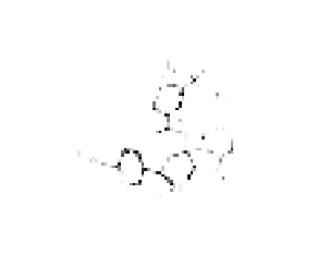 CCOc1ccc(C2=C(C)N=C[C@](NC(=O)c3cnnc(C(C)(C)C#N)c3)(N3CCOCC3C)C2)cn1